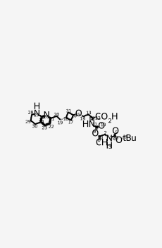 C[C@H](CNC(=O)OC(C)(C)C)OC(=O)N[C@@H](CCO[C@H]1C[C@H](CCc2ccc3c(n2)NCCC3)C1)C(=O)O